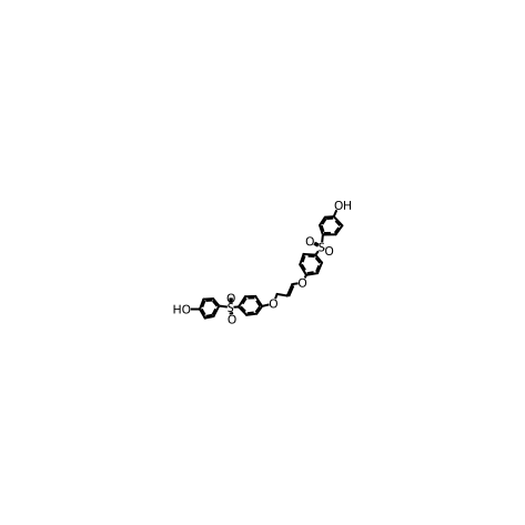 O=S(=O)(c1ccc(O)cc1)c1ccc(OC=CCOc2ccc(S(=O)(=O)c3ccc(O)cc3)cc2)cc1